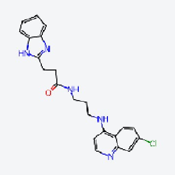 O=C(CCc1nc2ccccc2[nH]1)NCCCNc1ccnc2cc(Cl)ccc12